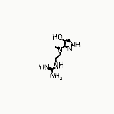 CN(CCNC(=N)N)c1n[nH]cc1O